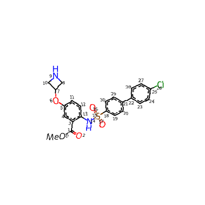 COC(=O)c1cc(OC2CNC2)ccc1NS(=O)(=O)c1ccc(-c2ccc(Cl)cc2)cc1